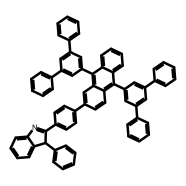 c1ccc(-c2cc(-c3ccccc3)cc(-c3c4ccccc4c(-c4cc(-c5ccccc5)cc(-c5ccccc5)c4)c4cc(-c5ccc(C6=Nc7ccccc7C6c6ccccc6)cc5)ccc34)c2)cc1